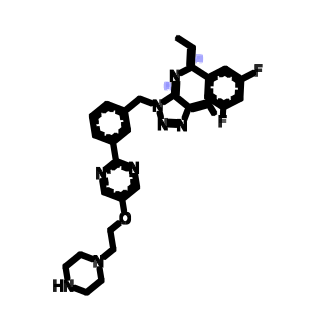 CC=C1N=NN(Cc2cccc(-c3ncc(OCCN4CCNCC4)cn3)c2)/C1=N/C(=C\C)c1cc(F)cc(F)c1